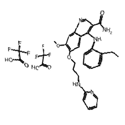 CCc1ccccc1Nc1c(C(N)=O)cnc2cc(OC)c(OCCCNc3ccccn3)cc12.O=C(O)C(F)(F)F.O=C(O)C(F)(F)F